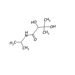 CC(C)NC(=O)C(O)C(C)(C)O